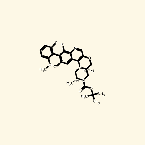 COc1cccc(F)c1-c1c(Cl)cc2c3c(cnc2c1F)OC[C@H]1CN(C(=O)OC(C)(C)C)[C@H](C)CN31